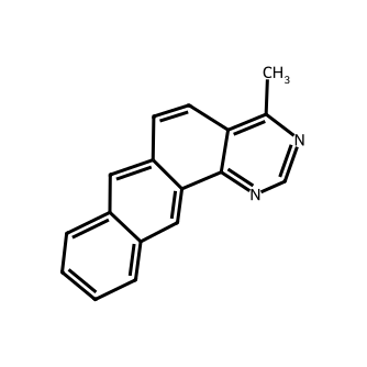 Cc1ncnc2c1ccc1cc3ccccc3cc12